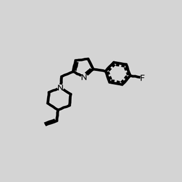 C=CC1CCN(CC2=CCC(c3ccc(F)cc3)=N2)CC1